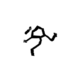 C=CCc1c(O)cccc1CBr.C=O